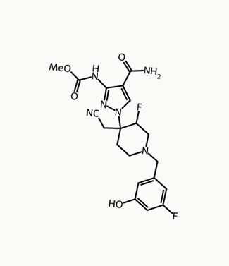 COC(=O)Nc1nn(C2(CC#N)CCN(Cc3cc(O)cc(F)c3)CC2F)cc1C(N)=O